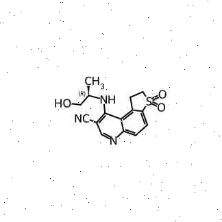 C[C@H](CO)Nc1c(C#N)cnc2ccc3c(c12)CCS3(=O)=O